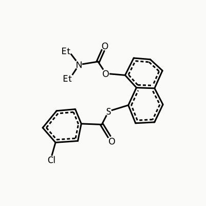 CCN(CC)C(=O)Oc1cccc2cccc(SC(=O)c3cccc(Cl)c3)c12